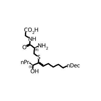 CCCCCCCCCCCCCCC=C(SC[C@H](N)C(=O)NCC(=O)O)[C@@H](O)CCC